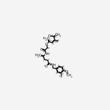 C=C(CCC(=O)NCc1ccc(OC)c(F)c1)NC(=O)COC(=C)/C=C(/F)C(=C)Cl